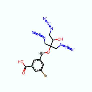 [N-]=[N+]=NCC(O)C(CN=[N+]=[N-])(CN=[N+]=[N-])OBc1cc(Br)cc(C(=O)O)c1